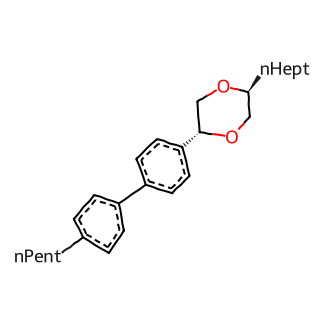 CCCCCCC[C@H]1CO[C@H](c2ccc(-c3ccc(CCCCC)cc3)cc2)CO1